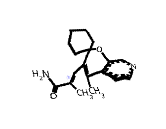 CC1=C(/C=C(\C)C(N)=O)C2(CCCCC2)Oc2cnccc21